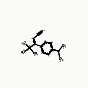 CC(C)c1ccc(/C(=C\C#N)C(C)(C)C)cc1